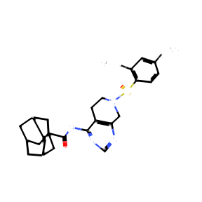 COc1ccc(S(=O)(=O)N2CCc3c(ncnc3NC(=O)C34CC5CC(CC(C5)C3)C4)C2)c(OC)c1